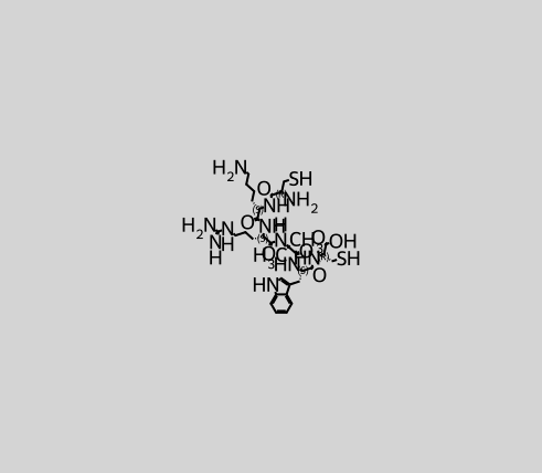 CC(C)(NC(=O)[C@H](CCCNC(=N)N)NC(=O)[C@H](CCCCN)NC(=O)[C@@H](N)CS)C(=O)N[C@@H](Cc1c[nH]c2ccccc12)C(=O)N[C@@H](CS)C(=O)O